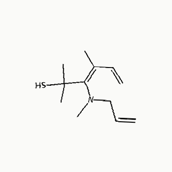 C=CCN(C)/C(=C(/C)C=C)C(C)(C)S